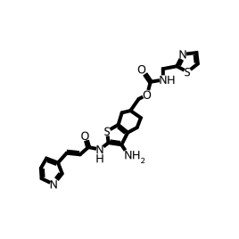 Nc1c(NC(=O)/C=C/c2cccnc2)sc2c1CCC(COC(=O)NCc1nccs1)C2